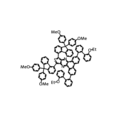 CCOc1ccccc1-c1ccccc1-c1ccc2c3ccc(-c4ccccc4-c4ccccc4OCC)cc3c3nc4c(-c5cccc6c5-c5ccccc5C6(c5ccc(OC)cc5)c5ccc(OC)cc5)sc(-c5cccc6c5-c5ccccc5C6(c5ccc(OC)cc5)c5ccc(OC)cc5)c4nc3c2c1